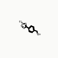 CCn1nnc(-c2ccc(CC(C)(C)C)cc2)n1